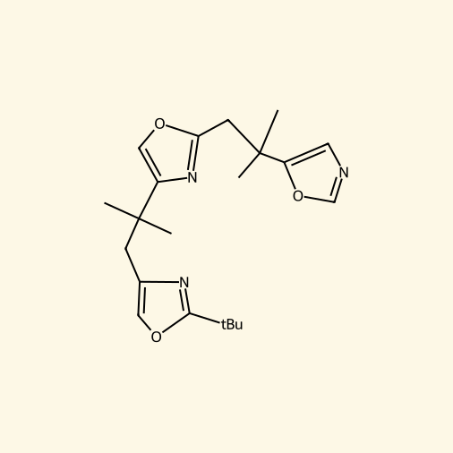 CC(C)(C)c1nc(CC(C)(C)c2coc(CC(C)(C)c3cnco3)n2)co1